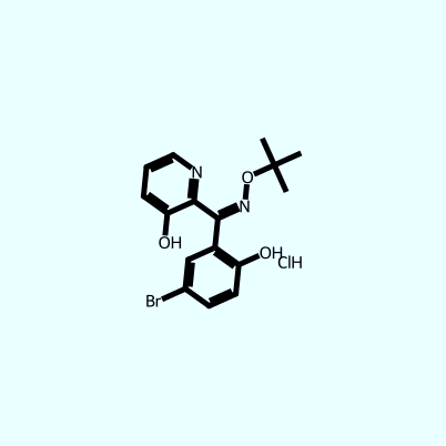 CC(C)(C)O/N=C(/c1cc(Br)ccc1O)c1ncccc1O.Cl